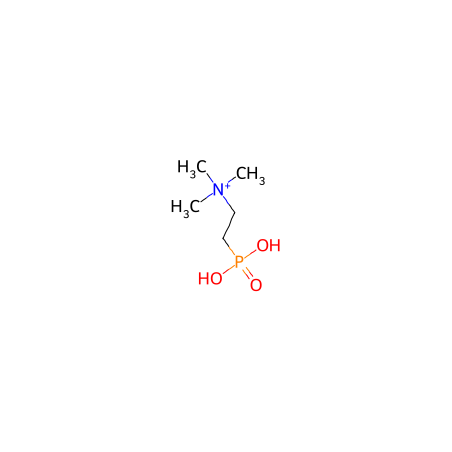 C[N+](C)(C)CCP(=O)(O)O